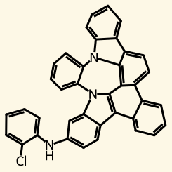 Clc1ccccc1Nc1ccc2c3c4ccccc4c4ccc5c6ccccc6n6c7ccccc7n(c2c1)c3c4c56